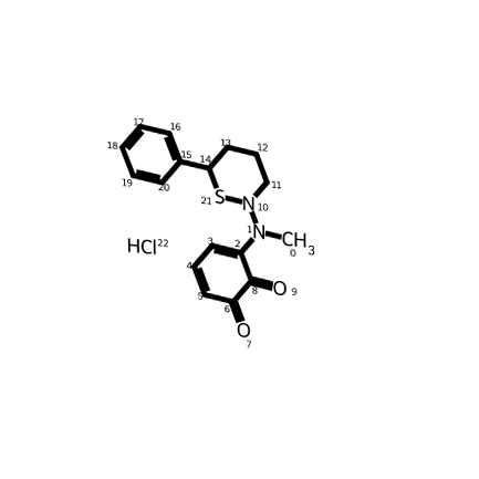 CN(C1=CC=CC(=O)C1=O)N1CCCC(c2ccccc2)S1.Cl